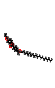 CCCCCCCCCCCCCCCCCCCCOC(C)c1ccc(C(=O)Oc2ccc(OCCC)cc2)cc1